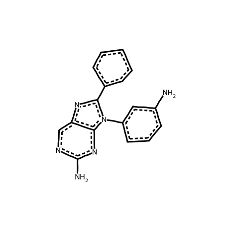 Nc1cccc(-n2c(-c3ccccc3)nc3cnc(N)nc32)c1